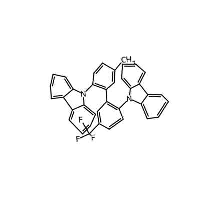 Cc1ccc(-n2c3ccccc3c3ccccc32)c(-c2cc(C(F)(F)F)ccc2-n2c3ccccc3c3ccccc32)c1